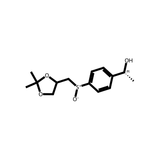 C[C@@H](O)c1ccc([S+]([O-])CC2COC(C)(C)O2)cc1